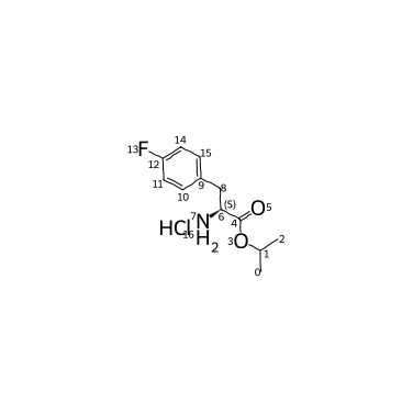 CC(C)OC(=O)[C@@H](N)Cc1ccc(F)cc1.Cl